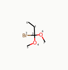 CCC(Br)(OC)OC